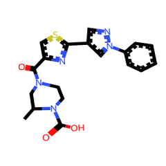 CC1CN(C(=O)c2csc(-c3cnn(-c4ccccc4)c3)n2)CCN1C(=O)O